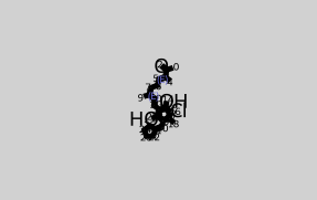 CC(=O)/C(C)=C/CC/C(C)=C/Cc1c(O)c(Cl)c(C)c(C=C2CCCC2)c1O